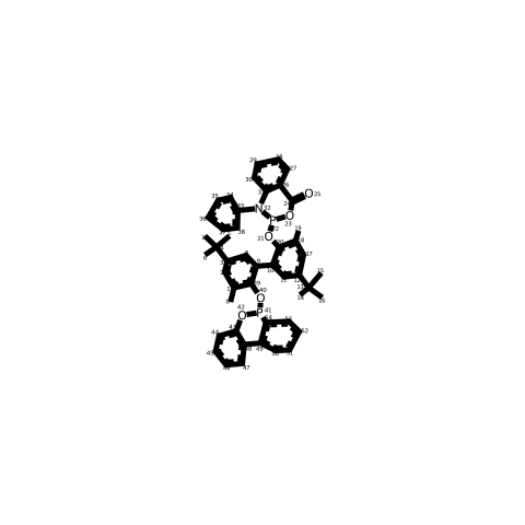 Cc1cc(C(C)(C)C)cc(-c2cc(C(C)(C)C)cc(C)c2OP2OC(=O)c3ccccc3N2c2ccccc2)c1OP1Oc2ccccc2-c2ccccc21